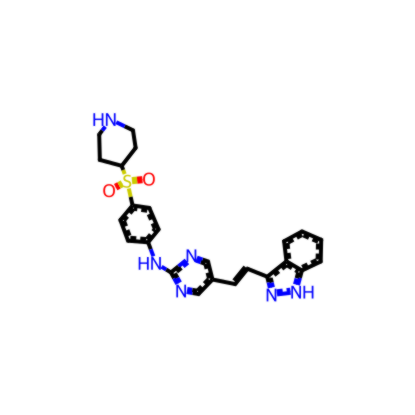 O=S(=O)(c1ccc(Nc2ncc(C=Cc3n[nH]c4ccccc34)cn2)cc1)C1CCNCC1